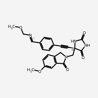 COC/N=C/c1ccc(C#C[C@@]2(CN3Cc4ccc(OC)cc4C3=O)NC(=O)NC2=O)cc1